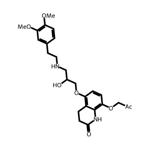 COc1ccc(CCNCC(O)COc2ccc(OCC(C)=O)c3c2CCC(=O)N3)cc1OC